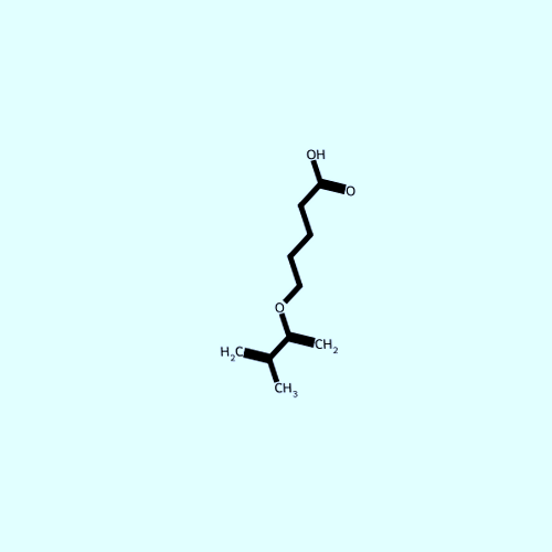 C=C(C)C(=C)OCCCCC(=O)O